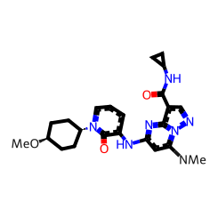 CNc1cc(Nc2cccn([C@H]3CC[C@H](OC)CC3)c2=O)nc2c(C(=O)NC3CC3)cnn12